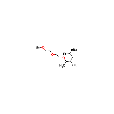 CCCCC(CC)CC(C)C(C)OCCOCCOCC